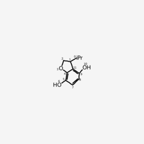 CC(C)C1COc2c(O)ccc(O)c21